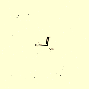 C=CN.[Sm]